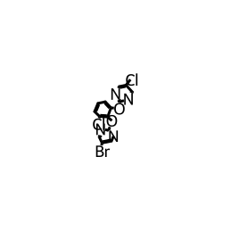 Clc1cnc(Oc2cccc(Cl)c2Oc2ncc(Br)cn2)nc1